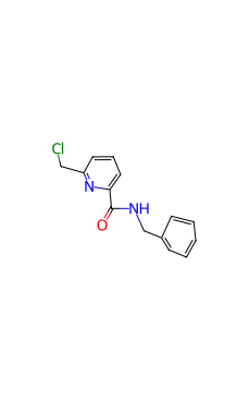 O=C(NCc1ccccc1)c1cccc(CCl)n1